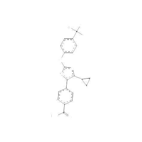 O=C(O)c1ccc(-c2nc(Oc3ccc(C(F)(F)F)cc3)sc2C2CC2)cc1